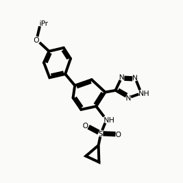 CC(C)Oc1ccc(-c2ccc(NS(=O)(=O)C3CC3)c(-c3nn[nH]n3)c2)cc1